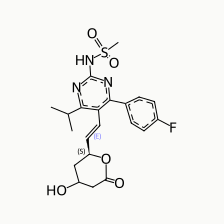 CC(C)c1nc(NS(C)(=O)=O)nc(-c2ccc(F)cc2)c1/C=C/[C@@H]1CC(O)CC(=O)O1